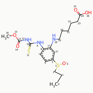 CCC[S+]([O-])c1ccc(NC(=S)NC(=O)OC)c(NCCCCCC(=O)O)c1